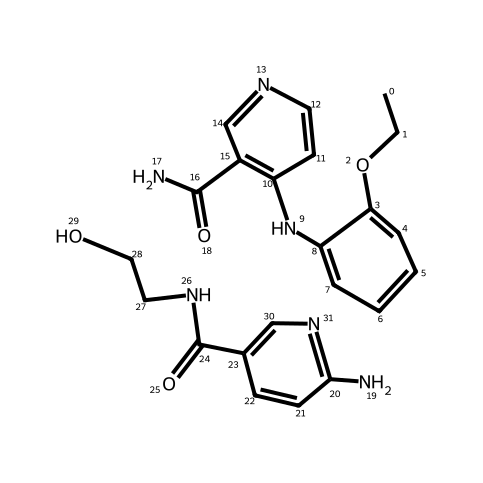 CCOc1ccccc1Nc1ccncc1C(N)=O.Nc1ccc(C(=O)NCCO)cn1